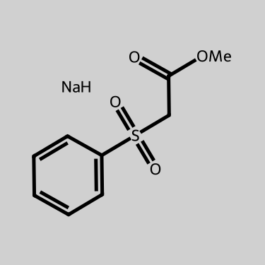 COC(=O)CS(=O)(=O)c1ccccc1.[NaH]